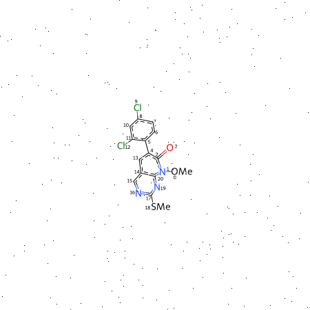 COn1c(=O)c(-c2ccc(Cl)cc2Cl)cc2cnc(SC)nc21